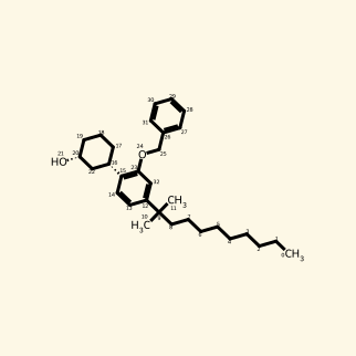 CCCCCCCCCC(C)(C)c1ccc([C@H]2CCC[C@@H](O)C2)c(OCc2ccccc2)c1